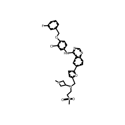 CN1CC(N(CCS(C)(=O)=O)Cc2ccc(-c3ccc4ncnc(Nc5ccc(OCc6cccc(F)c6)c(Cl)c5)c4c3)o2)C1